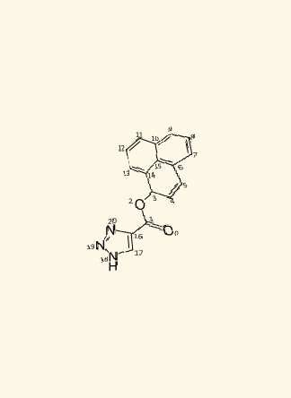 O=C(OC1C=Cc2cccc3cccc1c23)c1c[nH]nn1